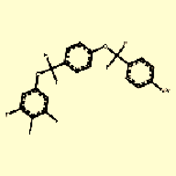 CCCc1ccc(C(F)(F)Oc2ccc(C(F)(F)Oc3cc(F)c(F)c(F)c3)cc2)cc1